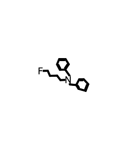 FCCCCN(Cc1ccccc1)Cc1ccccc1